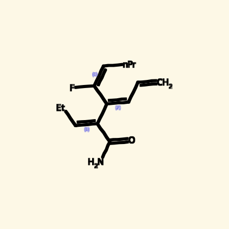 C=C/C=C(C(\F)=C/CCC)/C(=C\CC)C(N)=O